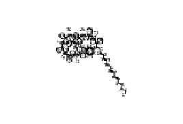 CCCCCCCCCCCCCCCCCC(=O)O[C@@H](C)C(=O)O[C@@H](C)C(=O)O[C@@H](C)C(=O)O[C@@H](C)C(=O)O[C@@H](C)C(=O)O[C@@H](C)C(=O)O[C@@H](C)C(=O)OCc1ccccc1